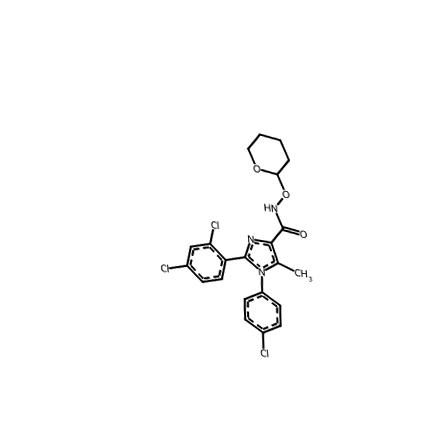 Cc1c(C(=O)NOC2CCCCO2)nc(-c2ccc(Cl)cc2Cl)n1-c1ccc(Cl)cc1